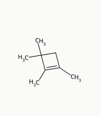 CC1=C(C)C(C)(C)C1